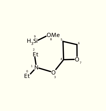 CCN(CC)OC1CCO1.CO[SiH3]